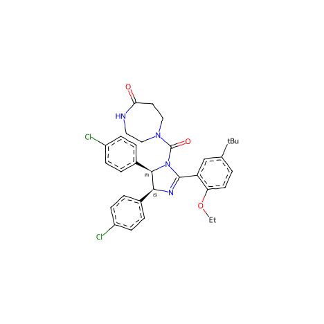 CCOc1ccc(C(C)(C)C)cc1C1=N[C@@H](c2ccc(Cl)cc2)[C@@H](c2ccc(Cl)cc2)N1C(=O)N1CCNC(=O)CC1